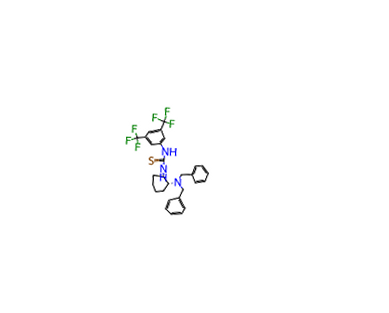 FC(F)(F)c1cc(NC(=S)N[C@@H]2CCCC[C@H]2N(Cc2ccccc2)Cc2ccccc2)cc(C(F)(F)F)c1